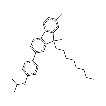 CCCCCCCCC1(C)c2cc(C)ccc2-c2ccc(-c3ccc(OC(C)C)cc3)cc21